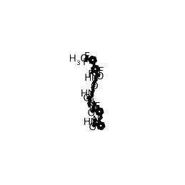 CC(F)(F)c1cccc(-c2cc(F)c(C(=O)NCCOCCNCC(=O)N3CCN(C(=O)c4cc(Cc5n[nH]c(=O)c6ccccc56)ccc4F)CC3)c(F)c2)c1